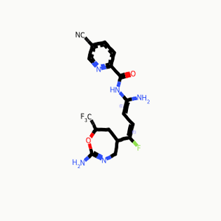 N#Cc1ccc(C(=O)N/C(N)=C/C=C(/F)C2CN=C(N)OC(C(F)(F)F)C2)nc1